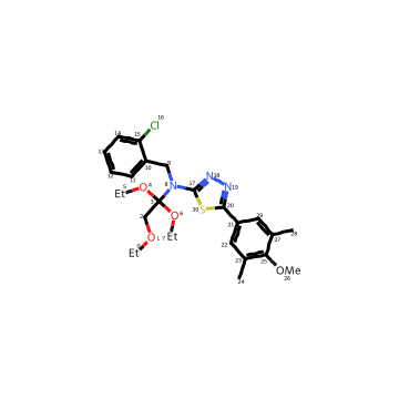 CCOCC(OCC)(OCC)N(Cc1ccccc1Cl)c1nnc(-c2cc(C)c(OC)c(C)c2)s1